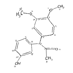 COc1ccc(C(C(C)=O)c2cccc(O)c2)cc1OC